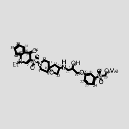 CCn1cc(S(=O)(=O)N2CCC3(CC2)CC(NCC(O)COc2cccc(S(=O)(=O)COC)c2)CO3)c(=O)c2ccccc21